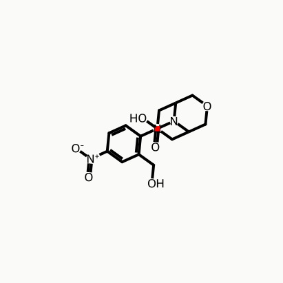 O=C(O)N1C2COCC1CN(c1ccc([N+](=O)[O-])cc1CO)C2